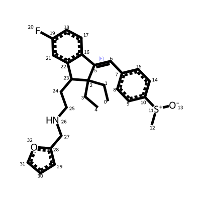 CCC1(CC)/C(=C\c2ccc([S+](C)[O-])cc2)c2ccc(F)cc2C1CCNCc1ccco1